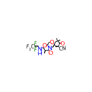 CC(C(=O)NCC(F)(F)C(F)(F)F)C(=O)N1CCOC2(C=C(C#N)C(=O)C(C)(C)C2)C1